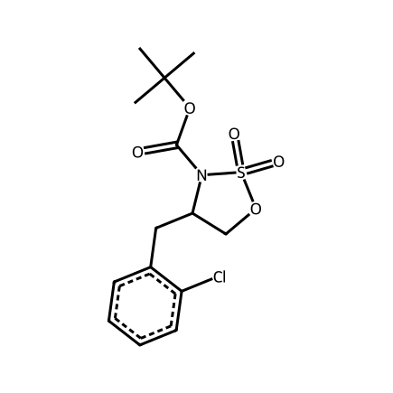 CC(C)(C)OC(=O)N1C(Cc2ccccc2Cl)COS1(=O)=O